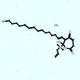 C=CC[N+](C)(C)C1(O)OC(=O)CCC(=O)C1C=CCCCCCCCCCCCCCC(C)C.[Cl-]